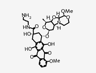 COc1cccc2c1C(=O)c1c(O)c3c(c(O)c1C2=O)C[C@@](O)(C(=O)NCCN)C[C@@H]3O[C@@H]1C[C@H]2[C@H](O[C@@H]3[C@@H](OC)OCCN32)[C@H](C)O1